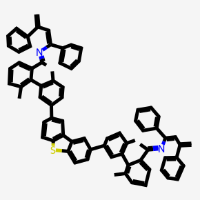 C=C(/C=C(\N=C(/C)c1cccc(C)c1-c1cc(-c2ccc3sc4ccc(-c5ccc(C)c(-c6c(C)cccc6/C(C)=N/C(=C\C(=C)c6ccccc6)c6ccccc6)c5)cc4c3c2)ccc1C)c1ccccc1)c1ccccc1